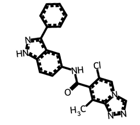 Cc1c(C(=O)Nc2ccc3[nH]nc(-c4ccccc4)c3c2)c(Cl)cn2cnnc12